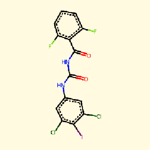 O=C(NC(=O)c1c(F)cccc1F)Nc1cc(Cl)c(I)c(Cl)c1